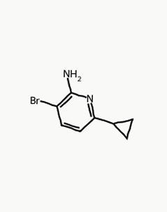 Nc1nc(C2CC2)ccc1Br